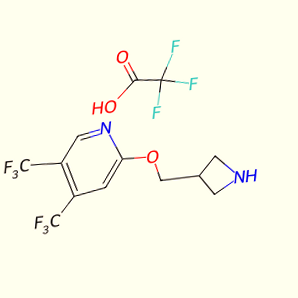 FC(F)(F)c1cnc(OCC2CNC2)cc1C(F)(F)F.O=C(O)C(F)(F)F